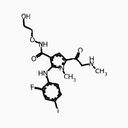 CNCC(=O)c1cc(C(=O)NOCCO)c(Nc2ccc(I)cc2F)n1C